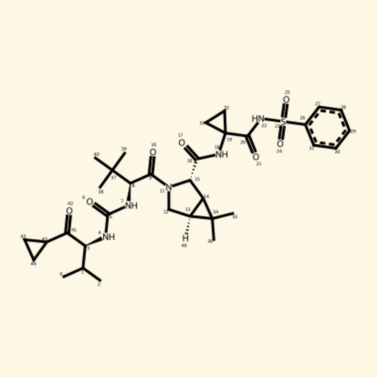 CC(C)[C@H](NC(=O)N[C@H](C(=O)N1C[C@H]2C([C@H]1C(=O)NC1(C(=O)NS(=O)(=O)c3ccccc3)CC1)C2(C)C)C(C)(C)C)C(=O)C1CC1